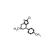 Cc1ccc(C2CN(C)Cc3sc(Cl)cc32)cc1